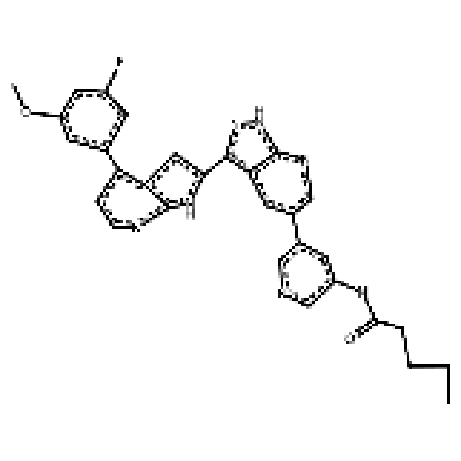 CCCCC(=O)Nc1cncc(-c2cnc3[nH]nc(-c4cc5c(-c6cc(F)cc(OC)c6)ccnc5[nH]4)c3c2)c1